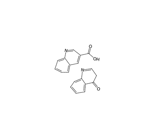 O=C(O)c1cnc2ccccc2c1.O=C1CC=Nc2ccccc21